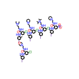 CCN(CC)CCCNC(=O)c1cc(Cl)ccc1Nc1ccc(I)cc1C.Cc1cc(I)ccc1Nc1ccc(Cl)cc1C(=O)NCCCN1CCCCC1.Cc1cc(I)ccc1Nc1ccc(Cl)cc1C(=O)NCCN(C(C)C)C(C)C.Cc1cc(I)ccc1Nc1ccc(Cl)cc1C(=O)NCCN1CCOCC1.Cc1cc(I)ccc1Nc1ccc([N+](=O)[O-])cc1C(=O)NCCN1CCCCC1